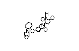 O=C1CCC(N2CC3CC(O[C@@H]4CCCCC[C@@H]4N4CCOCC4)=CC=C3C2=O)C(=O)N1